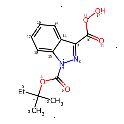 CCC(C)(C)OC(=O)n1nc(C(=O)OO)c2ccccc21